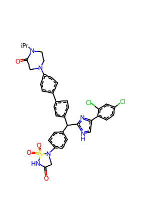 CC(C)N1CCN(c2ccc(-c3ccc(C(c4ccc(N5CC(=O)NS5(=O)=O)cc4)c4nc(-c5ccc(Cl)cc5Cl)c[nH]4)cc3)cc2)CC1=O